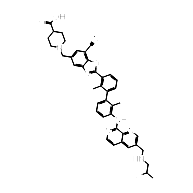 Cc1c(Nc2nccc3cc(CNCC(C)O)cnc23)cccc1-c1cccc(-c2nc3cc(CN4CCC(C(=O)O)CC4)cc(C#N)c3o2)c1C